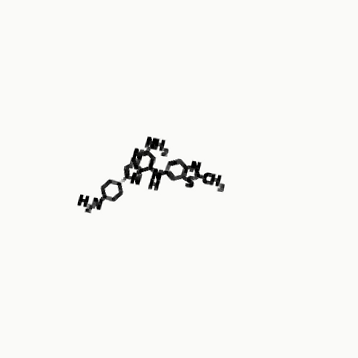 Cc1nc2ccc(Nc3cc(N)nn4cc([C@H]5CC[C@H](N)CC5)nc34)cc2s1